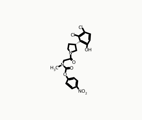 CN(CC(=O)N1CC[C@H](c2c(O)ccc(Cl)c2Cl)C1)C(=O)Oc1ccc([N+](=O)[O-])cc1